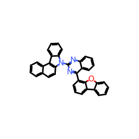 c1ccc2c(c1)ccc1c2c2ccccc2n1-c1nc(-c2cccc3c2oc2ccccc23)c2ccccc2n1